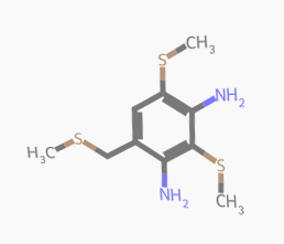 CSCc1cc(SC)c(N)c(SC)c1N